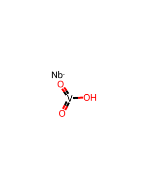 [Nb].[O]=[V](=[O])[OH]